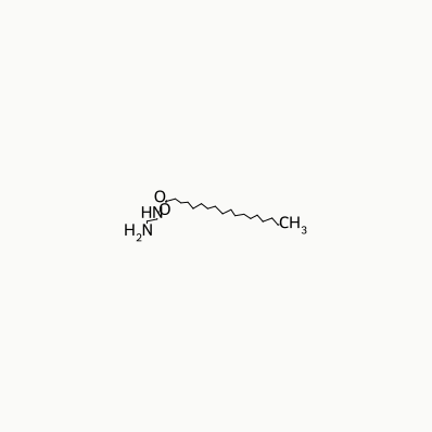 CCCCCCCCCCCCCCCCCC(=O)ONCCN